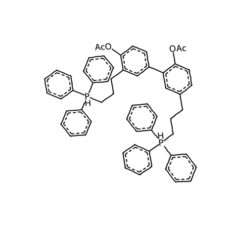 CC(=O)Oc1ccc(-c2cc(CCC[PH](c3ccccc3)(c3ccccc3)c3ccccc3)ccc2OC(C)=O)cc1CCC[PH](c1ccccc1)(c1ccccc1)c1ccccc1